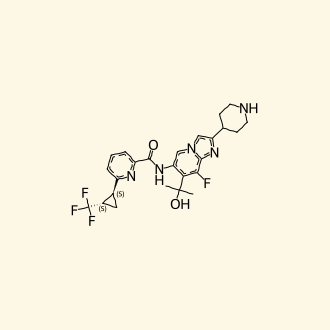 CC(C)(O)c1c(NC(=O)c2cccc([C@H]3C[C@@H]3C(F)(F)F)n2)cn2cc(C3CCNCC3)nc2c1F